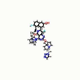 C#Cc1c(F)ccc2cc(O)cc(-c3nc(OCC)c4c(N5C[C@H]6CC[C@@H](C5)N6)nc(OC[C@@]56CCCN5[C@H](Cn5ccnn5)CC6)nc4c3F)c12